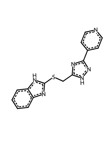 c1ccc2[nH]c(SCc3nc(-c4ccncc4)n[nH]3)nc2c1